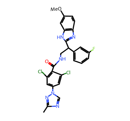 COc1ccc2nc(C(CNC(=O)c3c(Cl)cc(-n4cnc(C)n4)cc3Cl)c3cccc(F)c3)[nH]c2c1